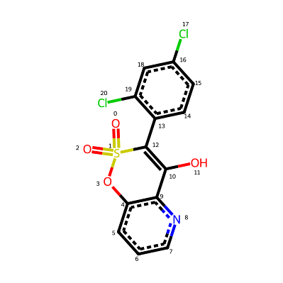 O=S1(=O)Oc2cccnc2C(O)=C1c1ccc(Cl)cc1Cl